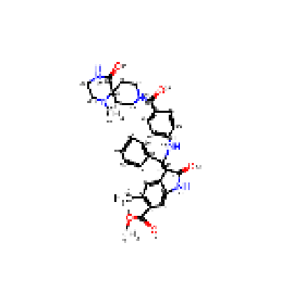 COC(=O)c1cc2c(cc1C)/C(=C(/Nc1ccc(C(=O)N3CCC4(CC3)C(=O)NCCN4C)cc1)c1ccccc1)C(=O)N2